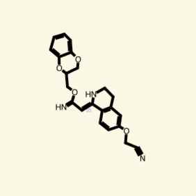 N#CCOc1ccc2c(c1)CCN/C2=C\C(=N)OCC1COc2ccccc2O1